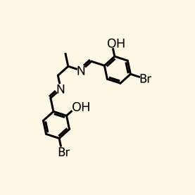 CC(CN=Cc1ccc(Br)cc1O)N=Cc1ccc(Br)cc1O